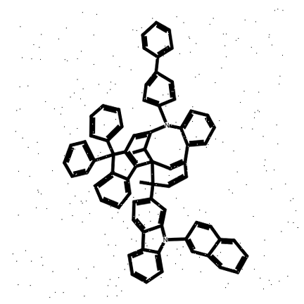 CC1C2=CC3=C(c4ccccc4C3(c3ccccc3)c3ccccc3)C13C=C(C=CC3(C)c1ccc3c4ccccc4n(-c4ccc5ccccc5c4)c3c1)c1ccccc1N2c1ccc(-c2ccccc2)cc1